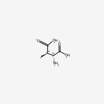 C[C@@H](C(=O)O)[C@@H](N)C(=O)O